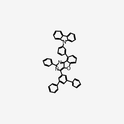 c1ccc(-c2cc(-c3ccccc3)cc(-c3nc(-c4ccccc4)nc4c3oc3cccc(-c5cccc(-n6c7ccccc7c7ccccc76)c5)c34)c2)cc1